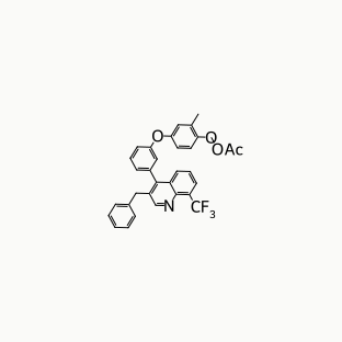 CC(=O)OOc1ccc(Oc2cccc(-c3c(Cc4ccccc4)cnc4c(C(F)(F)F)cccc34)c2)cc1C